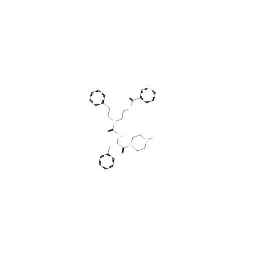 CN1CCN(C(=O)[C@H](Cc2ccccc2)NC(=O)N(CCSC(=O)c2cccnc2)CCc2ccccc2)CC1